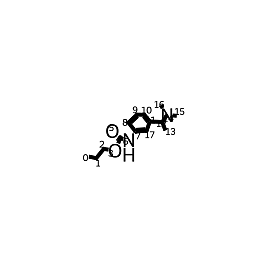 CCCOC(=O)Nc1cccc(C(C)N(C)C)c1